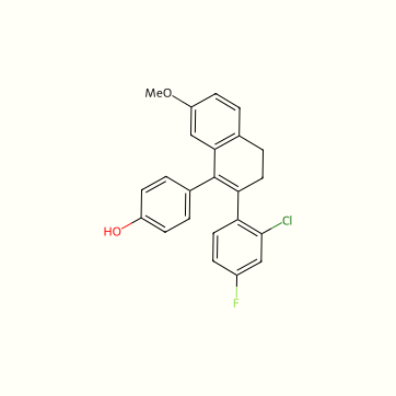 COc1ccc2c(c1)C(c1ccc(O)cc1)=C(c1ccc(F)cc1Cl)CC2